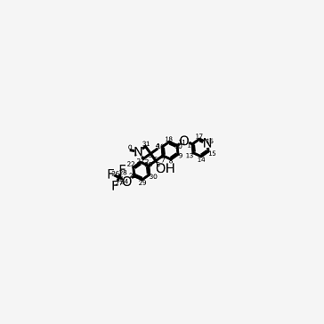 CN1CC(C)([C@](O)(c2ccc(Oc3cccnc3)cc2)c2ccc(OC(F)(F)F)cc2)C1